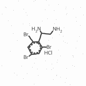 Cl.NCC(N)c1c(Br)cc(Br)cc1Br